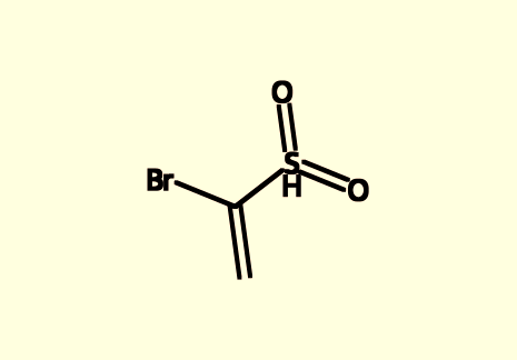 C=C(Br)[SH](=O)=O